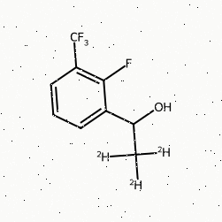 [2H]C([2H])([2H])C(O)c1cccc(C(F)(F)F)c1F